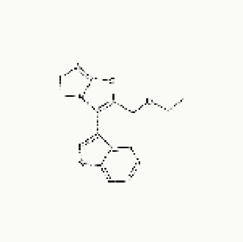 CCOCC1=C(c2csc3ccccc23)N2CCN=C2S1